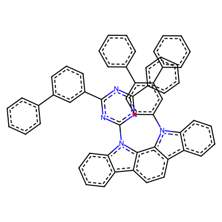 c1ccc(-c2cccc(-c3nc(-c4ccccc4)nc(-n4c5ccccc5c5ccc6c7ccccc7n(-c7ccc(-c8ccccc8)c(-c8ccccc8)c7)c6c54)n3)c2)cc1